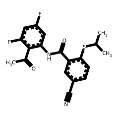 CC(=O)c1c(F)cc(F)cc1NC(=O)c1cc(C#N)ccc1SC(C)C